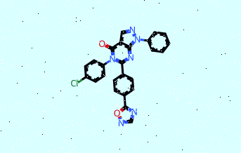 O=c1c2cnn(-c3ccccc3)c2nc(-c2ccc(-c3ncno3)cc2)n1-c1ccc(Cl)cc1